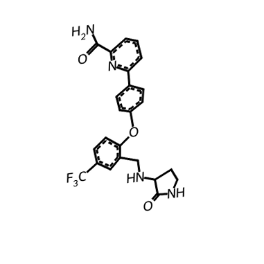 NC(=O)c1cccc(-c2ccc(Oc3ccc(C(F)(F)F)cc3CNC3CCNC3=O)cc2)n1